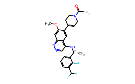 COc1cc2nncc(N[C@H](C)c3cccc(C(F)F)c3F)c2cc1C1=CCN(C(C)=O)CC1